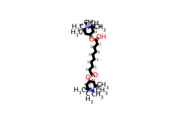 CN1C(C)(C)CC(OC(=O)CCCCCCCCC(O)OC2CC(C)(C)N(C)C(C)(C)C2)CC1(C)C